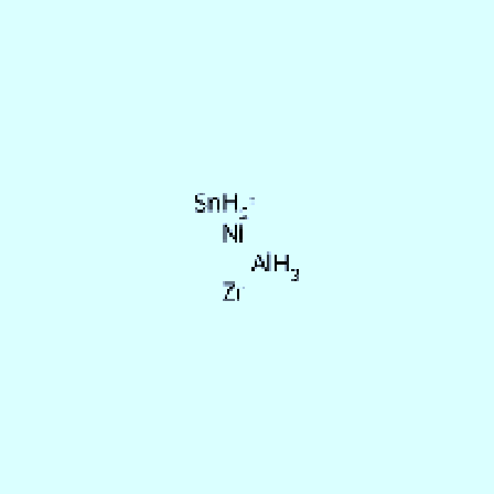 [AlH3].[Ni].[SnH2].[Zr]